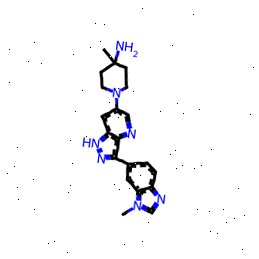 Cn1cnc2ccc(-c3n[nH]c4cc(N5CCC(C)(N)CC5)cnc34)cc21